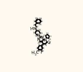 Cc1ccc(-c2cc(=O)n(C3CCCC3)c3nc(N4CCC(NCCc5ccccc5)CC4)ncc23)cc1F